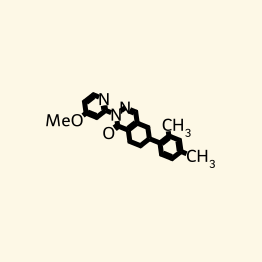 COc1ccnc(-n2ncc3c(c2=O)CCC(c2ccc(C)cc2C)C3)c1